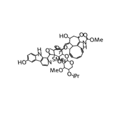 COC(=O)NC1=C2C#C/C=C\C#C[C@H](OC3OC(C)C(SC)(C(=O)c4nccc5c4[nH]c4ccc(O)cc45)C(O)C3OC3CC(OC)C(OC(C)C)CO3)C2/C(=C\CS(C)=S)[C@@H](O)CC1=O